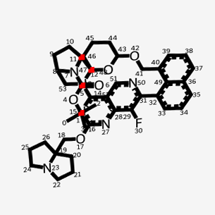 CC(C)(C)OC(=O)N1C2CCC1CN(c1nc(OCC34CCCN3CCC4)nc3c(F)c(-c4cccc5cccc(COC6CCCCO6)c45)ncc13)C2